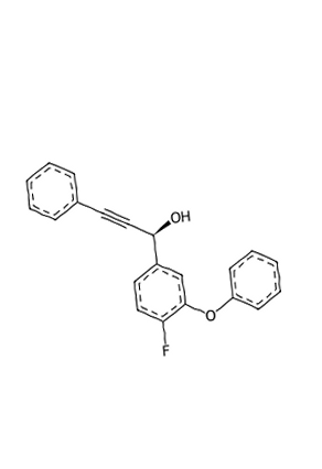 O[C@H](C#Cc1ccccc1)c1ccc(F)c(Oc2ccccc2)c1